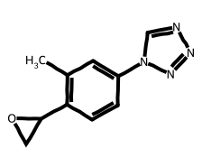 Cc1cc(-n2cnnn2)ccc1C1CO1